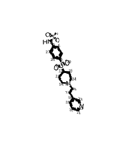 CS(=O)(=O)Nc1ccc(S(=O)(=O)C2CCN(CCc3cccnc3)CC2)cc1